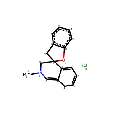 CN1C=C2CC=CC=C2C2(Cc3ccccc3O2)C1.Cl